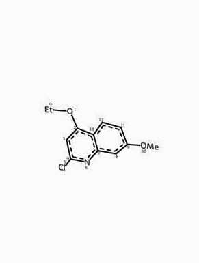 CCOc1cc(Cl)nc2cc(OC)ccc12